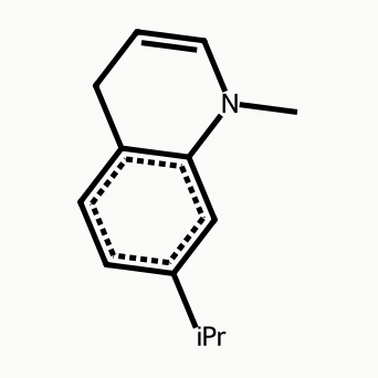 CC(C)c1ccc2c(c1)N(C)C=CC2